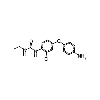 CCNC(=O)Nc1ccc(Oc2ccc(N)cc2)cc1Cl